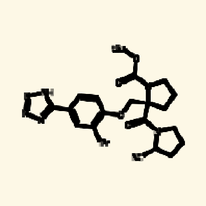 CC(C)c1cc(-c2nnn[nH]2)ccc1OC[C@]1(C(=O)N2CCC[C@H]2C#N)CCCN1C(=O)OC(C)(C)C